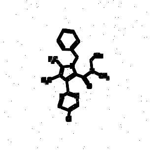 Cc1c(-c2ncc(Cl)cn2)c(C(=O)N(C)CC(C)(C)C)n(Cc2ccccc2)c1C(F)(F)F